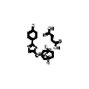 CN1[C@@H]2CC[C@H]1C[C@H](Oc1nnc(-c3ccc(Cl)cc3)s1)C2.O=C(O)/C=C/C(=O)O